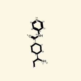 CCC(N)[C@H]1CC[C@H](C(=O)Nc2ccncc2)CC1